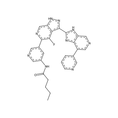 CCCCC(=O)Nc1cncc(-c2ncc3[nH]nc(-c4nc5c(-c6cccnc6)cncc5[nH]4)c3c2F)c1